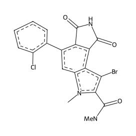 CNC(=O)c1c(Br)c2c3c(c(-c4ccccc4Cl)cc2n1C)C(=O)NC3=O